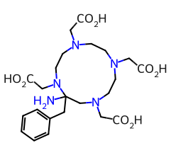 NC1(Cc2ccccc2)CN(CC(=O)O)CCN(CC(=O)O)CCN(CC(=O)O)CCN1CC(=O)O